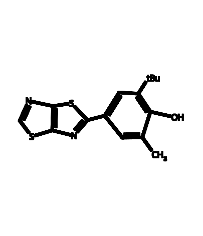 Cc1cc(-c2nc3scnc3s2)cc(C(C)(C)C)c1O